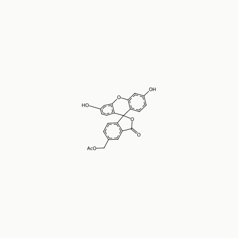 CC(=O)OCc1ccc2c(c1)C(=O)OC21c2ccc(O)cc2Oc2cc(O)ccc21